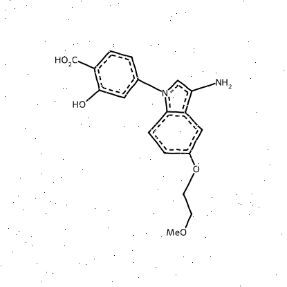 COCCOc1ccc2c(c1)c(N)cn2-c1ccc(C(=O)O)c(O)c1